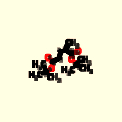 C=C(CCC(=O)OC(C)(C)C)C(=O)OC(C)(C)C